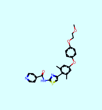 COCCOc1ccc(Oc2cc(C)c(-c3csc(NC(=O)c4ccncc4)n3)c(C)c2)cc1